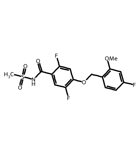 COc1cc(F)ccc1COc1cc(F)c(C(=O)NS(C)(=O)=O)cc1F